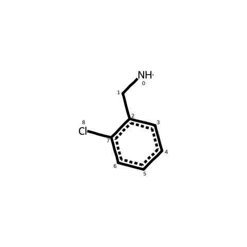 [NH]Cc1ccccc1Cl